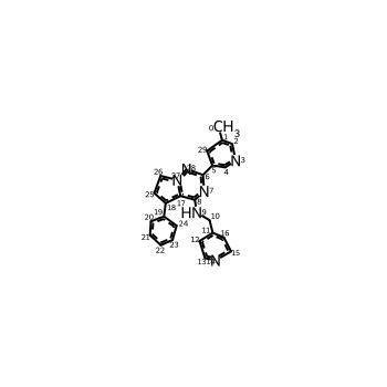 Cc1cncc(-c2nc(NCc3ccncc3)c3c(-c4ccccc4)ccn3n2)c1